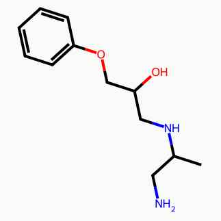 CC(CN)NCC(O)COc1ccccc1